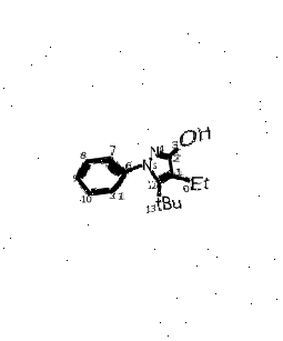 CCc1c(O)nn(-c2ccccc2)c1C(C)(C)C